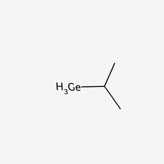 C[CH](C)[GeH3]